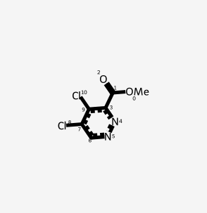 COC(=O)c1nncc(Cl)c1Cl